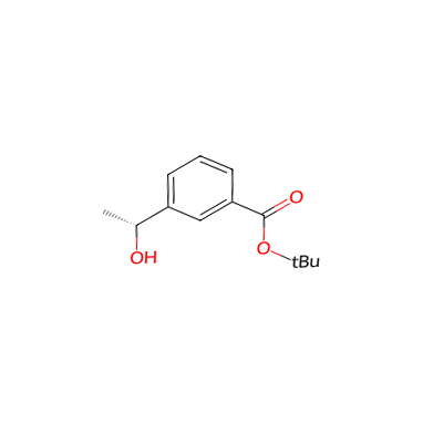 C[C@@H](O)c1cccc(C(=O)OC(C)(C)C)c1